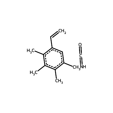 C=Cc1cc(C)c(C)c(C)c1C.N=C=O